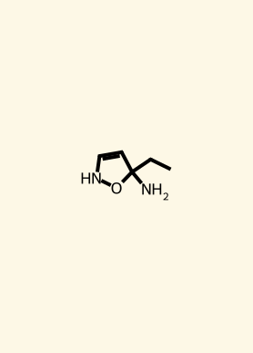 CCC1(N)C=CNO1